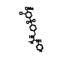 C/N=C(\NCc1ccc(S(=O)(=O)c2ccc(OC)c(Cl)c2)cc1)Nc1ccncc1